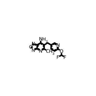 Cc1nc2nonc2c(N)c1Cc1ccc(OC(F)F)nc1